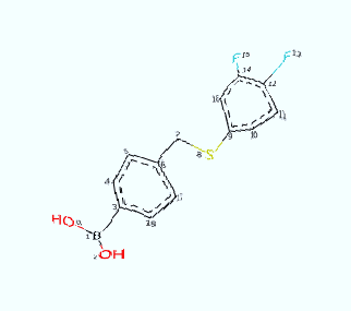 OB(O)c1ccc(CSc2ccc(F)c(F)c2)cc1